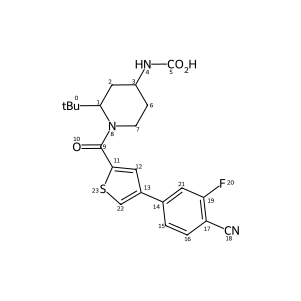 CC(C)(C)C1CC(NC(=O)O)CCN1C(=O)c1cc(-c2ccc(C#N)c(F)c2)cs1